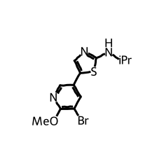 COc1ncc(-c2cnc(NC(C)C)s2)cc1Br